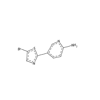 Nc1ccc(-c2ncc(Br)s2)cn1